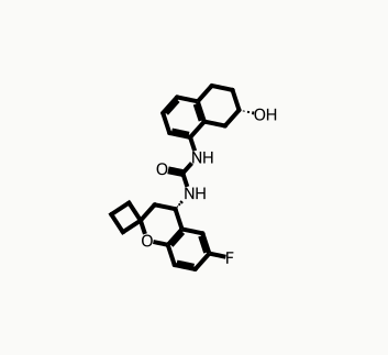 O=C(Nc1cccc2c1C[C@@H](O)CC2)N[C@H]1CC2(CCC2)Oc2ccc(F)cc21